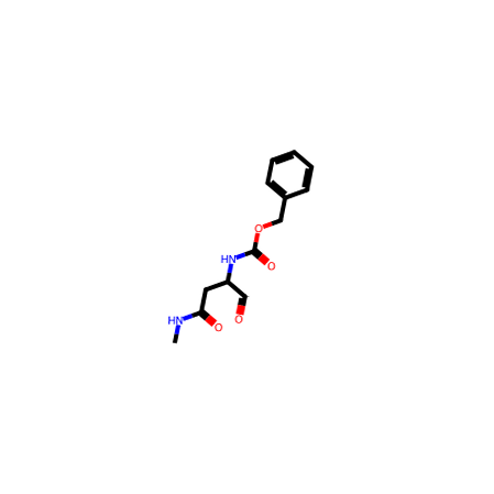 CNC(=O)CC([C]=O)NC(=O)OCc1ccccc1